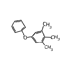 Cc1cc(Oc2ccccc2)cc(C)c1C